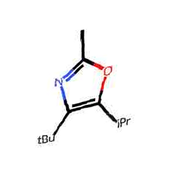 Cc1nc(C(C)(C)C)c(C(C)C)o1